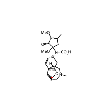 CON1C(=O)C(OC)(N(C(=O)O)[C@H]2C=C[C@@]34CCN(C)Cc5cccc(c53)O[C@H]4C2)CC1C